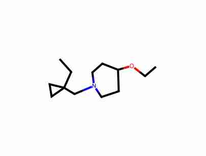 CCOC1CCN(CC2(CC)CC2)CC1